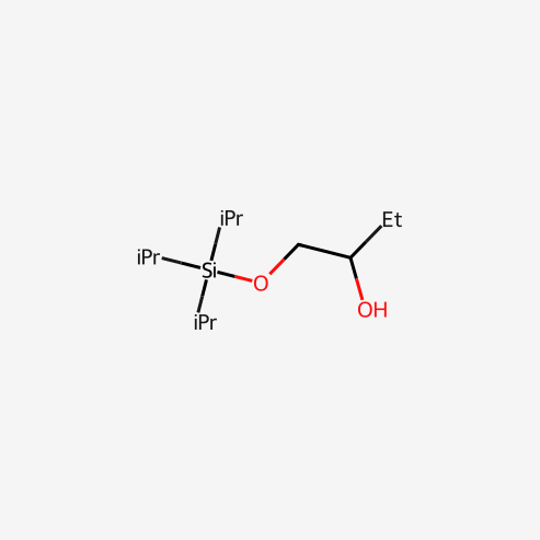 CCC(O)CO[Si](C(C)C)(C(C)C)C(C)C